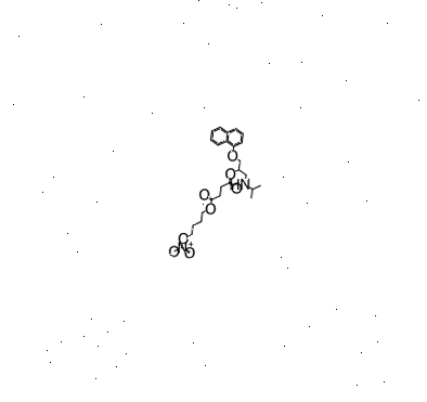 CC(C)NCC(COc1cccc2ccccc12)OC(=O)CCC(=O)OCCCCO[N+](=O)[O-]